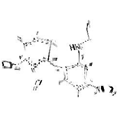 CCNc1nc(N)ccc1-c1cccc(Cl)c1Cl